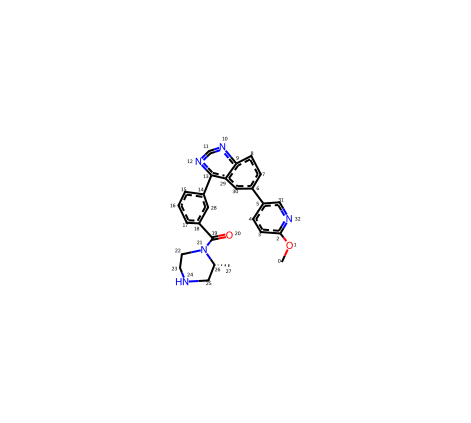 COc1ccc(-c2ccc3ncnc(-c4cccc(C(=O)N5CCNC[C@H]5C)c4)c3c2)cn1